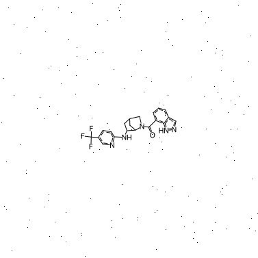 O=C(c1cccc2cn[nH]c12)N1CC2CC(Nc3ccc(C(F)(F)F)cn3)C1C2